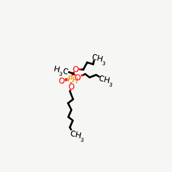 CCCCCCCCO[PH](=O)C(C)(OCCCC)OCCCC